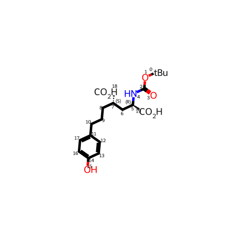 CC(C)(C)OC(=O)N[C@H](C[C@H](CCCc1ccc(O)cc1)C(=O)O)C(=O)O